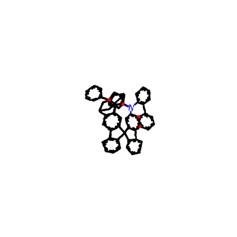 c1ccc(-c2ccc(N(c3ccc4c(c3)C3(c5ccccc5-4)c4ccccc4-c4cc5c(cc43)C3CC4CC5CC3C4)c3ccccc3-c3ccccc3)cc2)cc1